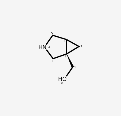 OC[C@@]12CNCC1C2